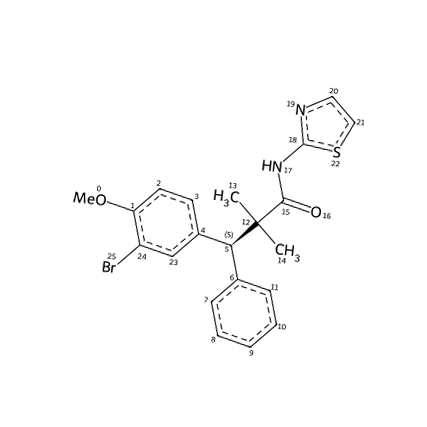 COc1ccc([C@H](c2ccccc2)C(C)(C)C(=O)Nc2nccs2)cc1Br